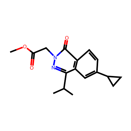 COC(=O)Cn1nc(C(C)C)c2cc(C3CC3)ccc2c1=O